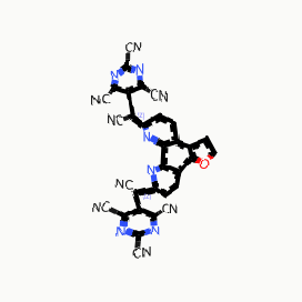 N#C/C(c1c(C#N)nc(C#N)nc1C#N)=c1/ccc2c3ccoc3c3cc/c(=C(/C#N)c4c(C#N)nc(C#N)nc4C#N)nc3c2n1